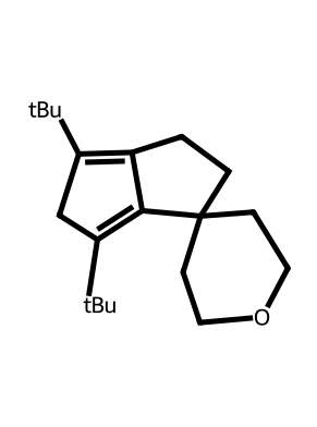 CC(C)(C)C1=C2CCC3(CCOCC3)C2=C(C(C)(C)C)C1